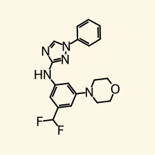 FC(F)c1cc(Nc2ncn(-c3ccccc3)n2)cc(N2CCOCC2)c1